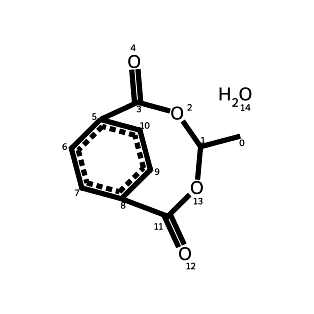 CC1OC(=O)c2ccc(cc2)C(=O)O1.O